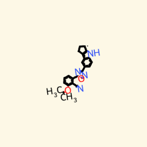 CC(C)Oc1cccc(-c2nc(-c3ccc4[nH]c5c(c4c3)CC[CH]5)no2)c1C#N